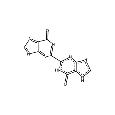 O=C1N=C(c2nc3nc[nH]c3c(=O)[nH]2)N=C2N=CN=C12